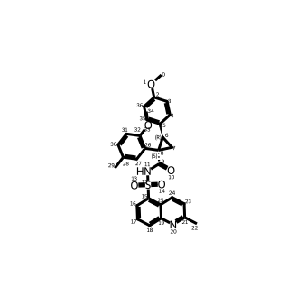 COc1ccc([C@H]2C[C@@]2(C(=O)NS(=O)(=O)c2cccc3nc(C)ccc23)c2cc(C)ccc2OC)cc1